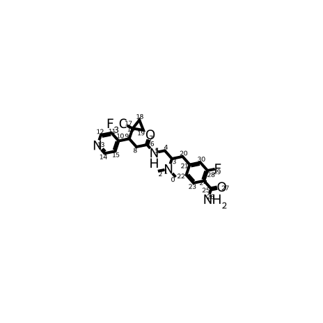 CN(C)C(CNC(=O)CC(c1ccncc1)C1(C(F)(F)F)CC1)Cc1ccc(C(N)=O)c(F)c1